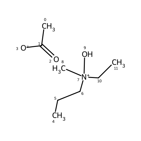 CC(=O)[O-].CCC[N+](C)(O)CC